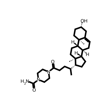 CC(CCC(=O)N1CCN(C(N)=O)CC1)[C@H]1CC[C@H]2[C@@H]3CC=C4C[C@@H](O)CC[C@]4(C)[C@H]3CC[C@]12C